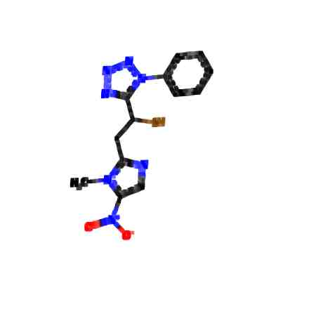 Cn1c([N+](=O)[O-])cnc1CC(S)c1nnnn1-c1ccccc1